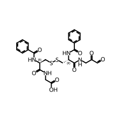 O=CC(=O)CNC(=O)[C@H](CSSC[C@H](NC(=O)c1ccccc1)C(=O)NCC(=O)O)NC(=O)c1ccccc1